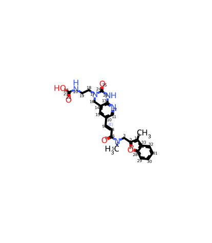 Cc1c(CN(C)C(=O)/C=C/c2cnc3c(c2)CN(CCNC(=O)O)C(=O)N3)oc2ccccc12